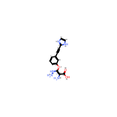 NN/C(Oc1cccc(C#Cc2ncc[nH]2)c1)=C(\N)C(=O)O